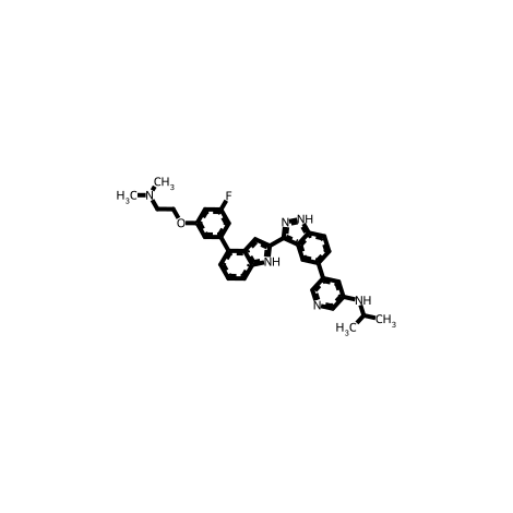 CC(C)Nc1cncc(-c2ccc3[nH]nc(-c4cc5c(-c6cc(F)cc(OCCN(C)C)c6)cccc5[nH]4)c3c2)c1